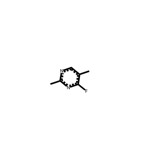 Cc1ncc(C)c(F)n1